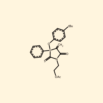 C=C1C(=O)N(CCOC(C)=O)C(=S)S1(Oc1ccc(C(C)(C)C)cc1)c1ccccc1